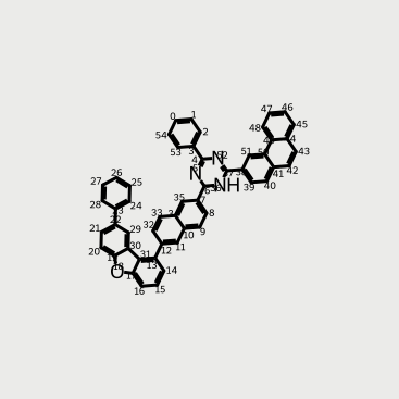 c1ccc(C2=NC(c3ccc4cc(-c5cccc6oc7ccc(-c8ccccc8)cc7c56)ccc4c3)NC(c3ccc4ccc5ccccc5c4c3)=N2)cc1